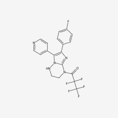 O=C(N1CCNn2c1nc(-c1ccc(F)cc1)c2-c1ccncc1)C(F)(F)C(F)(F)F